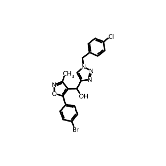 Cc1noc(-c2ccc(Br)cc2)c1C(O)c1cn(Cc2ccc(Cl)cc2)nn1